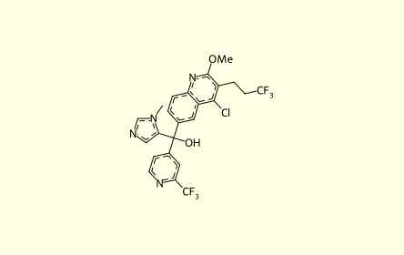 COc1nc2ccc(C(O)(c3ccnc(C(F)(F)F)c3)c3cncn3C)cc2c(Cl)c1CCC(F)(F)F